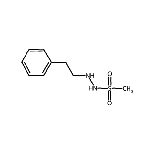 CS(=O)(=O)NNCCc1ccccc1